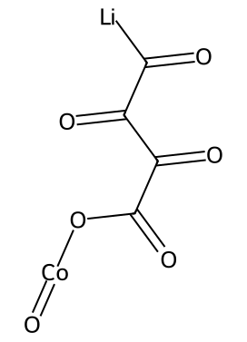 [Li][C](=O)C(=O)C(=O)C(=O)[O][Co]=[O]